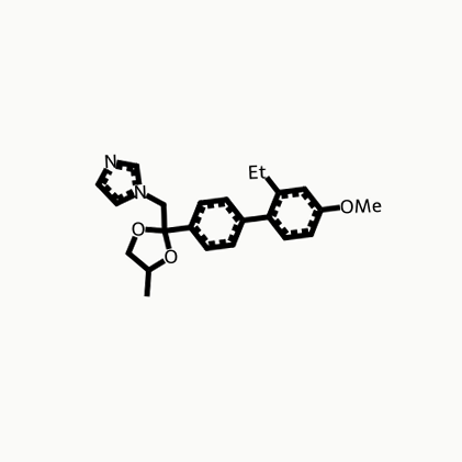 CCc1cc(OC)ccc1-c1ccc(C2(Cn3ccnc3)OCC(C)O2)cc1